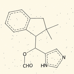 CC1(C)Cc2ccccc2C1C(OC=O)c1cnc[nH]1